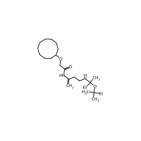 C=C(CCNC(C)(CC)OC(C)(C)CC)NC(=O)COC1CCCCCCCCC1